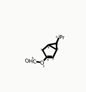 CC(C)C1C2C=C(OC=O)CC21